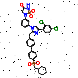 O=C1CN(c2cccc(-n3cc(-c4ccc(Cl)cc4Cl)nc3Cc3ccc(-c4ccc(S(=O)(=O)CC5CCCCC5)cc4)cc3)c2)S(=O)(=O)N1